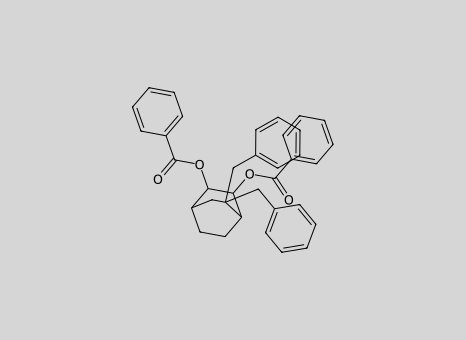 O=C(OC1C2CCC(C1OC(=O)c1ccccc1)C(Cc1ccccc1)(Cc1ccccc1)C2)c1ccccc1